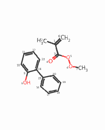 C=C(C)C(=O)OOC.Oc1ccccc1-c1ccccc1